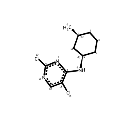 C[C@H]1CCC[C@@H](Nc2nc(Cl)ncc2Cl)C1